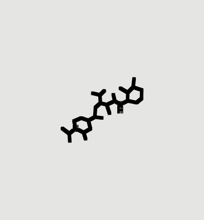 CC(C)C(CC(C)C1CCN(C(C)C)C(C)C1)C(C)C(C)NC1CCCC(C)C1C